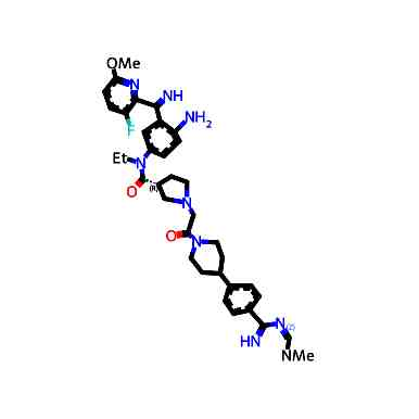 CCN(C(=O)[C@@H]1CCN(CC(=O)N2CCC(c3ccc(C(=N)/N=C\NC)cc3)CC2)C1)c1ccc(N)c(C(=N)c2nc(OC)ccc2F)c1